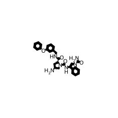 NC(=O)n1cc(NC(=O)N2C[C@H](N)C[C@H]2C(=O)NCc2cccc(Oc3ccccc3)c2)c2ccccc21